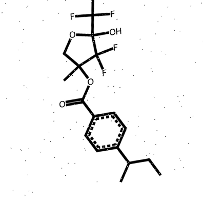 CCC(C)c1ccc(C(=O)OC2(C)COC(O)(C(F)(F)F)C2(F)F)cc1